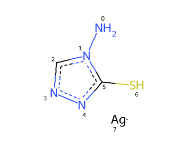 Nn1cnnc1S.[Ag]